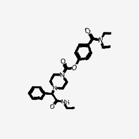 CCNC(=O)C(c1ccccc1)N1CCN(C(=O)Oc2ccc(C(=O)N(CC)CC)cc2)CC1